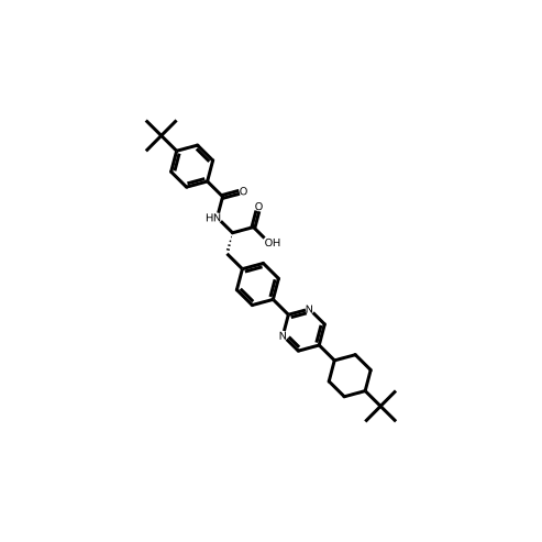 CC(C)(C)c1ccc(C(=O)N[C@@H](Cc2ccc(-c3ncc(C4CCC(C(C)(C)C)CC4)cn3)cc2)C(=O)O)cc1